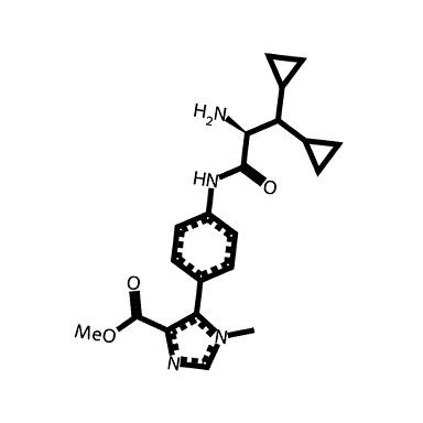 COC(=O)c1ncn(C)c1-c1ccc(NC(=O)[C@@H](N)C(C2CC2)C2CC2)cc1